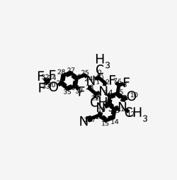 C[C@H]1CN(c2c(C(F)F)c(=O)n(C)c3ccc(C#N)nc23)[C@@H](C)CN1Cc1ccc(OC(F)(F)F)cc1F